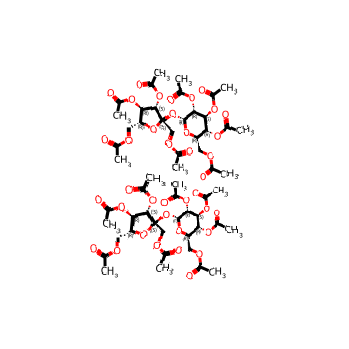 CC(=O)OC[C@H]1O[C@@](COC(C)=O)(O[C@H]2O[C@H](COC(C)=O)[C@@H](OC(C)=O)[C@H](OC(C)=O)[C@H]2OC(C)=O)[C@@H](OC(C)=O)[C@@H]1OC(C)=O.CC(=O)OC[C@H]1O[C@@](COC(C)=O)(O[C@H]2O[C@H](COC(C)=O)[C@@H](OC(C)=O)[C@H](OC(C)=O)[C@H]2OC(C)=O)[C@@H](OC(C)=O)[C@@H]1OC(C)=O